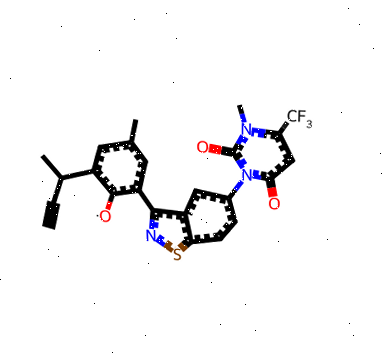 C#CC(C)c1cc(C)cc(-c2nsc3ccc(-n4c(=O)cc(C(F)(F)F)n(C)c4=O)cc23)c1[O]